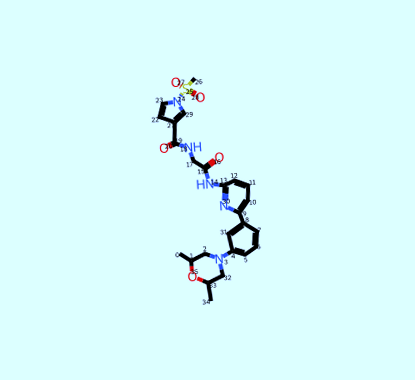 CC1CN(c2cccc(-c3cccc(NC(=O)CNC(=O)c4ccn(S(C)(=O)=O)c4)n3)c2)CC(C)O1